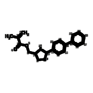 C=C(C)C(=O)OCC1CSC(c2ccc(-c3ccccc3)cc2)S1